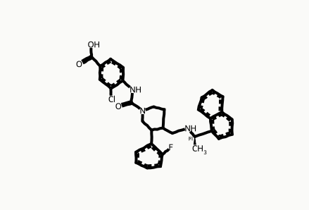 C[C@@H](NCC1CCN(C(=O)Nc2ccc(C(=O)O)cc2Cl)CC1c1ccccc1F)c1cccc2ccccc12